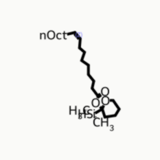 CCCCCCCC/C=C\CCCCCCCC(=O)OC1([SiH](C)C)CCCCO1